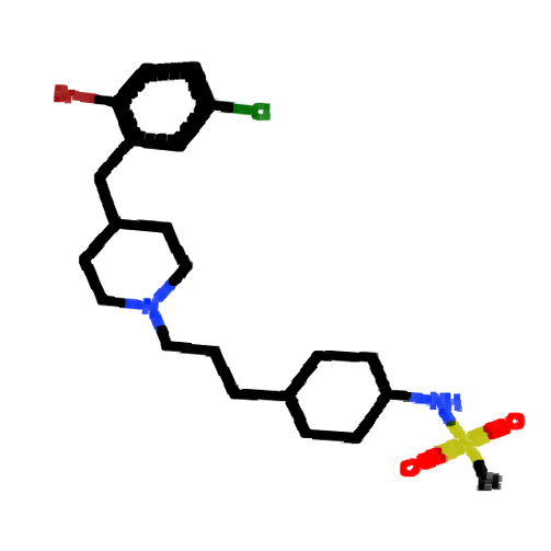 CCS(=O)(=O)NC1CCC(CCCN2CCC(Cc3cc(Cl)ccc3Br)CC2)CC1